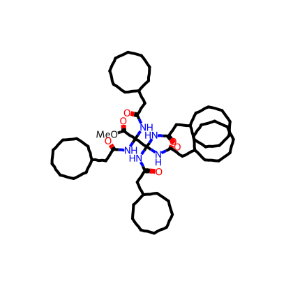 COC(=O)C(NC(=O)CC1CCCCCCCC1)(NC(=O)CC1CCCCCCCC1)C(NC(=O)CC1CCCCCCCC1)(NC(=O)CC1CCCCCCCC1)NC(=O)CC1CCCCCCCC1